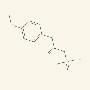 COc1ccc(CC(=O)CP(=O)(O)O)cc1